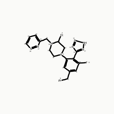 CCC1CN(c2cc(CC(C)C)cc(F)c2-c2nn[nH]n2)CCN1Cc1cccnn1